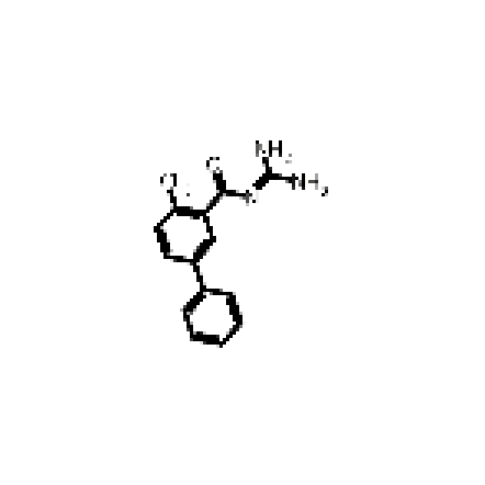 NC(N)=NC(=O)c1cc(-c2ccccc2)ccc1C(F)(F)F